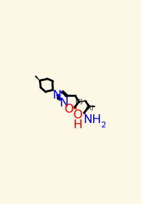 C[C@@H](CN)C[C@H](Cc1cn([C@H]2CC[C@H](C)CC2)cn1)C(=O)O